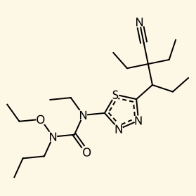 CCCN(OCC)C(=O)N(CC)c1nnc(C(CC)C(C#N)(CC)CC)s1